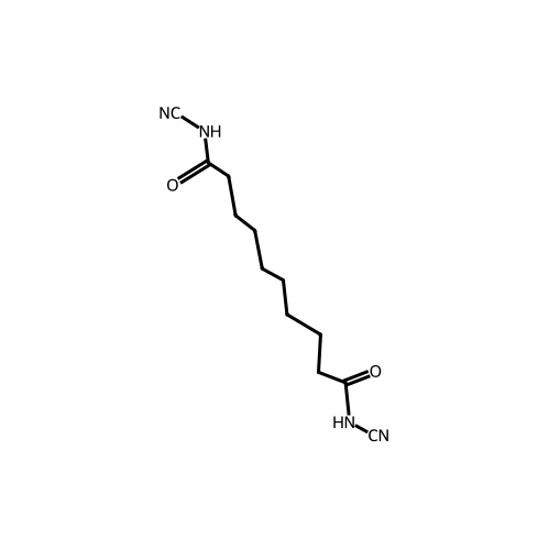 N#CNC(=O)CCCCCCCCC(=O)NC#N